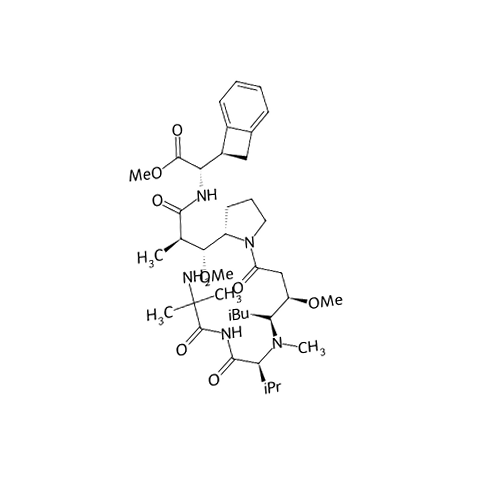 CC[C@H](C)[C@@H]([C@@H](CC(=O)N1CCC[C@H]1[C@H](OC)[C@@H](C)C(=O)N[C@H](C(=O)OC)[C@@H]1Cc2ccccc21)OC)N(C)[C@H](C(=O)NC(=O)C(C)(C)N)C(C)C